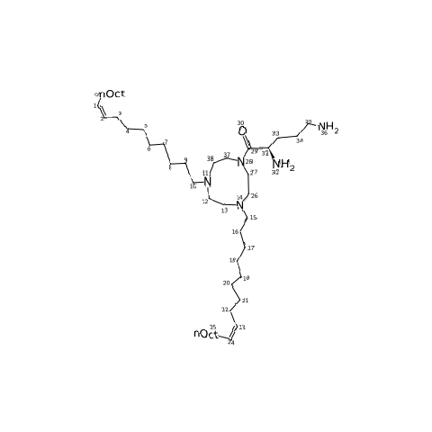 CCCCCCCC/C=C\CCCCCCCCN1CCN(CCCCCCCC/C=C\CCCCCCCC)CCN(C(=O)[C@H](N)CCCN)CC1